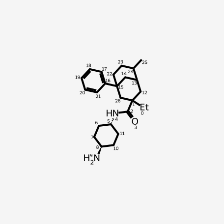 CCC1(C(=O)N[C@H]2CC[C@H](N)CC2)CC2CC(c3ccccc3)(CCC2C)C1